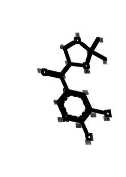 CC1(C)OCC(C(=O)c2cnc(Cl)c(Cl)c2)O1